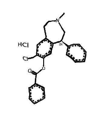 CN1CCc2cc(Cl)c(OC(=O)c3ccccc3)cc2[C@H](c2ccccc2)C1.Cl